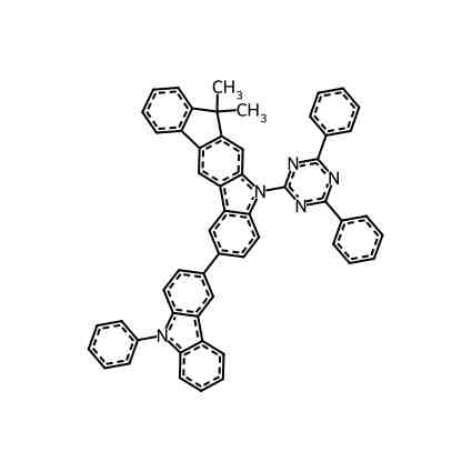 CC1(C)c2ccccc2-c2cc3c4cc(-c5ccc6c(c5)c5ccccc5n6-c5ccccc5)ccc4n(-c4nc(-c5ccccc5)nc(-c5ccccc5)n4)c3cc21